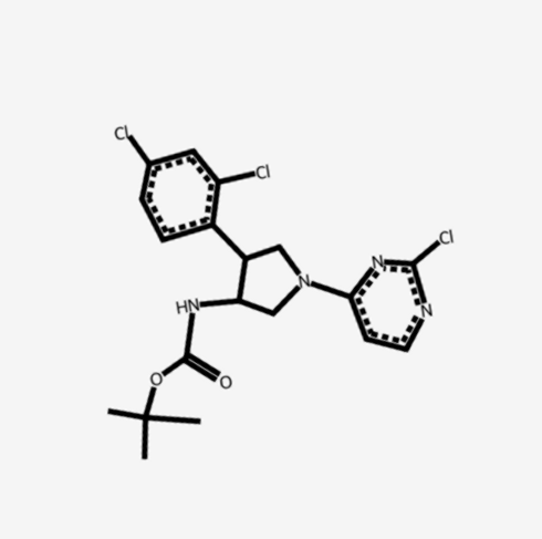 CC(C)(C)OC(=O)NC1CN(c2ccnc(Cl)n2)CC1c1ccc(Cl)cc1Cl